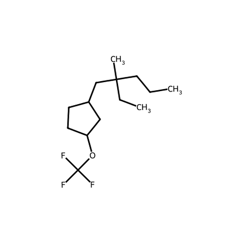 CCCC(C)(CC)CC1CCC(OC(F)(F)F)C1